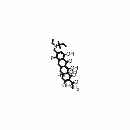 CCN(Cc1cc(O)c2c(c1F)CC1C[C@H]3CC(O)=C(C(N)=O)C(=O)[C@@]3(O)C(O)=C1C2=O)C(C)(C)CC